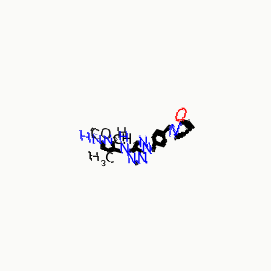 Cc1cc(NC(=O)O)nc(C)c1CNc1ncnc2c1cnn2Cc1ccc(Cn2ccccc2=O)cc1